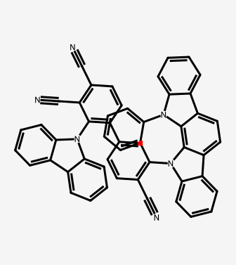 N#Cc1ccc(-c2ccc(C#N)c(C#N)c2-n2c3ccccc3c3ccccc32)cc1-n1c2ccccc2c2ccc3c4ccccc4n(-c4ccccc4)c3c21